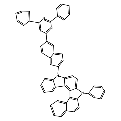 c1ccc(-c2nc(-c3ccccc3)nc(-c3ccc4cc(-n5c6ccccc6c6c7c8c9ccccc9ccc8n(-c8ccccc8)c7ccc65)ccc4c3)n2)cc1